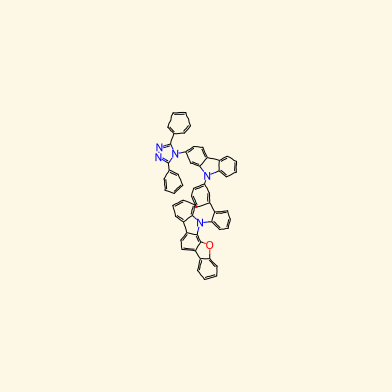 c1ccc(-c2nnc(-c3ccccc3)n2-c2ccc3c4ccccc4n(-c4cccc(-c5ccccc5-n5c6ccccc6c6ccc7c8ccccc8oc7c65)c4)c3c2)cc1